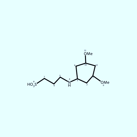 COC1CC(NCCCS(=O)(=O)O)CC(OC)C1